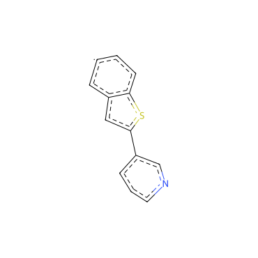 [c]1ccc2sc(-c3cccnc3)cc2c1